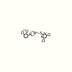 COc1cc(OC)nc(SCCN2CCN(c3cccc4c3OCCO4)CC2)n1